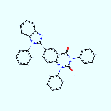 O=c1c2cc(-c3nc4ccccc4n3-c3ccccc3)ccc2n(-c2ccccc2)c(=O)n1-c1ccccc1